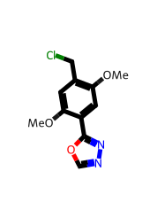 COc1cc(-c2nnco2)c(OC)cc1CCl